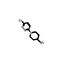 CCc1ccc(N2CCC(C(C)C)CC2)nn1